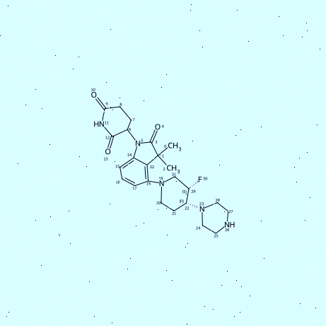 CC1(C)C(=O)N(C2CCC(=O)NC2=O)c2cccc(N3CC[C@@H](N4CCNCC4)[C@@H](F)C3)c21